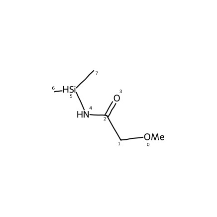 COCC(=O)N[SiH](C)C